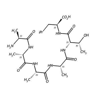 CC(C)C[C@H](NC(=O)[C@@H](NC(=O)[C@H](C)NC(=O)[C@H](C)NC(=O)[C@H](C)NC(=O)[C@H](C)N)[C@@H](C)O)C(=O)O